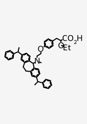 CCOC(Cc1ccc(OCCN(C)C2c3ccc(C(C)c4ccccc4)cc3CCc3cc(C(C)c4ccccc4)ccc32)cc1)C(=O)O